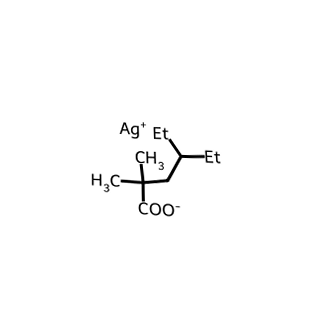 CCC(CC)CC(C)(C)C(=O)[O-].[Ag+]